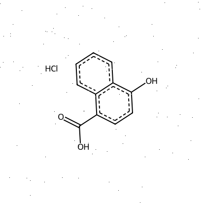 Cl.O=C(O)c1ccc(O)c2ccccc12